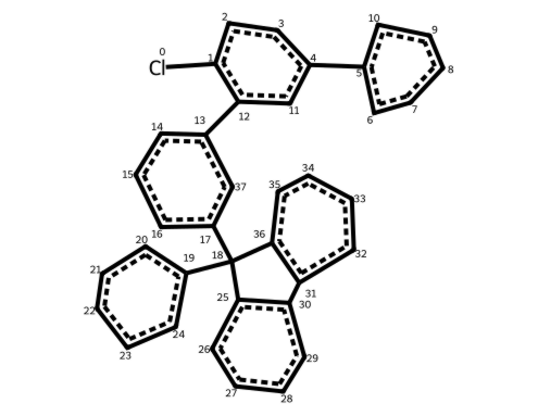 Clc1ccc(-c2ccccc2)cc1-c1cccc(C2(c3ccccc3)c3ccccc3-c3ccccc32)c1